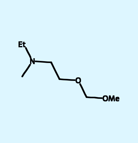 CCN(C)CCOCOC